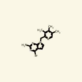 Cc1cnc(Cn2ccc3c(Br)nc(N)nc32)c(C)c1C